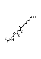 CC(=O)NCCOC(=S)CC(=O)/C(C)=C/C=C/CCCO